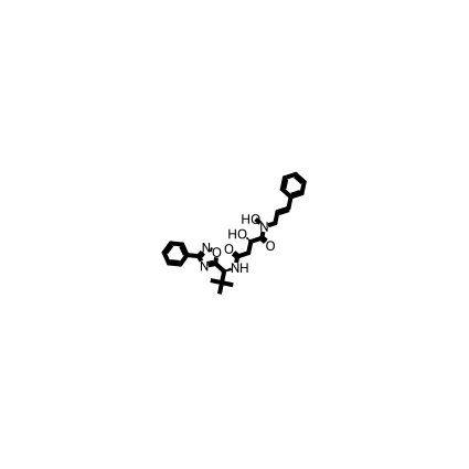 CC(C)(C)[C@H](NC(=O)C[C@H](O)C(=O)N(O)CC=Cc1ccccc1)c1nc(-c2ccccc2)no1